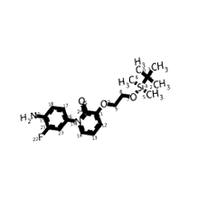 CC(C)(C)[Si](C)(C)OCCOc1cccn(-c2ccc(N)c(F)c2)c1=O